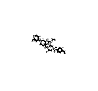 C=Cc1ccc(S(=O)(=O)N2CCN(CC3(NC(=O)OCC)CCN(c4ccnc(C)c4)CC3)C(=O)C2)cc1